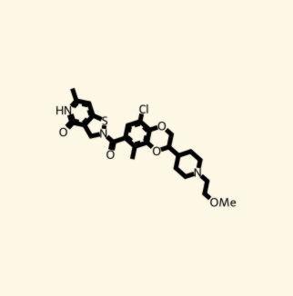 COCCN1CCC(C2COc3c(Cl)cc(C(=O)N4Cc5c(cc(C)[nH]c5=O)S4)c(C)c3O2)CC1